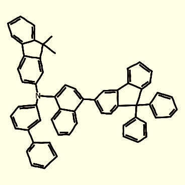 CC1(C)c2ccccc2-c2ccc(N(c3cccc(-c4ccccc4)c3)c3ccc(-c4ccc5c(c4)-c4ccccc4C5(c4ccccc4)c4ccccc4)c4ccccc34)cc21